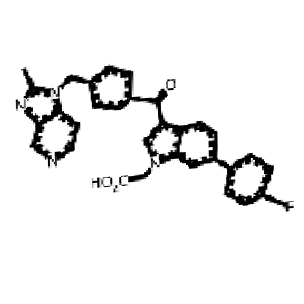 Cc1nc2cnccc2n1Cc1ccc(C(=O)c2cn(CC(=O)O)c3cc(-c4ccc(F)cc4)ccc23)cc1